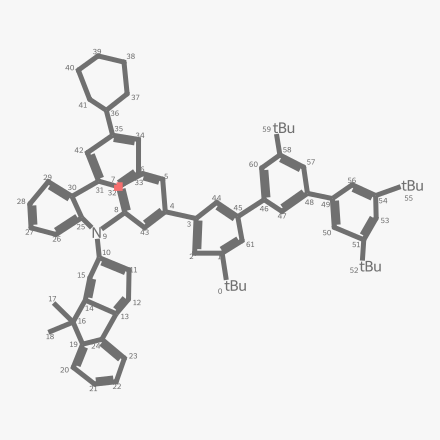 CC(C)(C)c1cc(-c2cccc(N(c3ccc4c(c3)C(C)(C)c3ccccc3-4)c3ccccc3-c3cccc(C4CCCCC4)c3)c2)cc(-c2cc(-c3cc(C(C)(C)C)cc(C(C)(C)C)c3)cc(C(C)(C)C)c2)c1